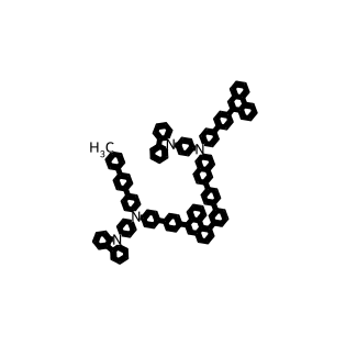 Cc1ccc(-c2ccc(-c3ccc(N(c4ccc(-c5ccc(-c6cc7cccc(-c8cccc(-c9ccc(-c%10ccc%11cc(N(c%12ccc(-c%13ccc(-c%14cc%15ccccc%15c%15ccccc%14%15)cc%13)cc%12)c%12ccc(-n%13c%14ccccc%14c%14ccccc%14%13)cc%12)ccc%11c%10)cc9)c8)c7c7ccccc67)cc5)cc4)c4ccc(-n5c6ccccc6c6ccccc65)cc4)cc3)cc2)cc1